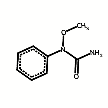 CON(C(N)=O)c1ccccc1